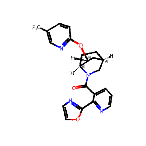 O=C(c1cccnc1-c1ncco1)N1C[C@@H]2CC[C@H]1[C@H](Oc1ccc(C(F)(F)F)cn1)C2